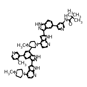 Cc1ccncc1-c1cc(C2CN(c3ccnc4[nH]c(-c5n[nH]c6ccc(-c7cncc(NC(=O)C(C)(C)C)c7)cc56)cc34)CCN2C)c2[nH]nc(-c3cc4c(N5CCN(C)CC5)ccnc4[nH]3)c2c1